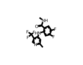 CNC(=O)c1cc(F)c(F)cc1Nc1cc(C)ncc1C(F)(F)F